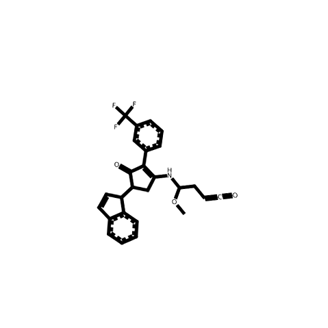 COC(CC=C=O)NC1=C(c2cccc(C(F)(F)F)c2)C(=O)C(C2C=Cc3ccccc32)C1